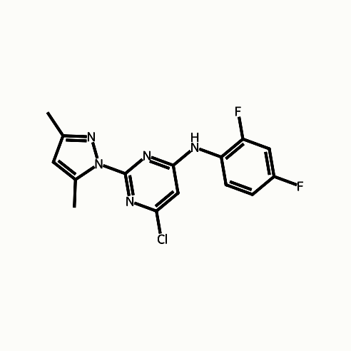 Cc1cc(C)n(-c2nc(Cl)cc(Nc3ccc(F)cc3F)n2)n1